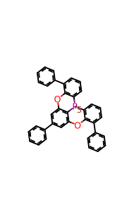 S=P12c3cccc(-c4ccccc4)c3Oc3cc(-c4ccccc4)cc(c31)Oc1c(-c3ccccc3)cccc12